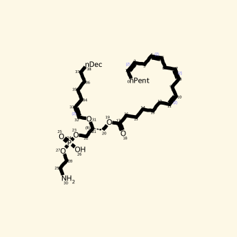 CCCCC/C=C\C/C=C\C/C=C\C/C=C\CCCCCC(=O)OC[C@H](COP(=O)(O)OCCN)O/C=C\CCCCCCCCCCCCCC